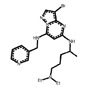 CCN(CC)CCCC(C)Nc1cc(NCc2cccnc2)n2ncc(Br)c2n1